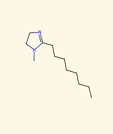 CCCCCCCCC1=NCCN1C